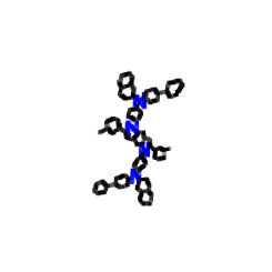 Cc1cccc(-c2cc3cc4c(cc(-c5cccc(C)c5)n4-c4ccc(N(c5ccc(-c6ccccc6)cc5)c5ccc6ccccc6c5)cc4)cc3n2-c2ccc(N(c3ccc(-c4ccccc4)cc3)c3ccc4ccccc4c3)cc2)c1